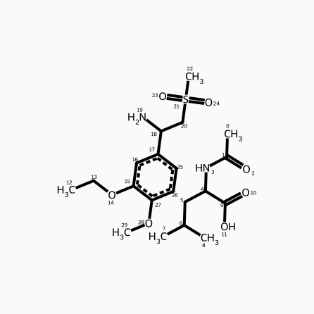 CC(=O)NC(CC(C)C)C(=O)O.CCOc1cc(C(N)CS(C)(=O)=O)ccc1OC